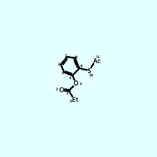 CCC(=O)Oc1ccccc1SC(C)=O